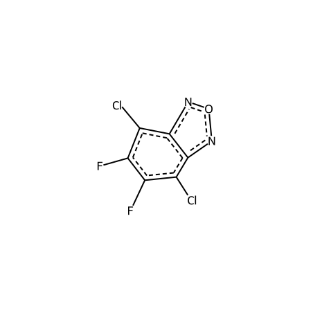 Fc1c(F)c(Cl)c2nonc2c1Cl